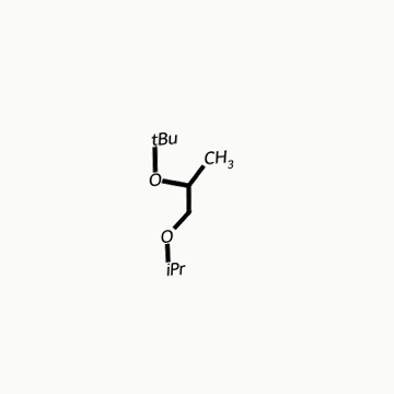 CC(C)OCC(C)OC(C)(C)C